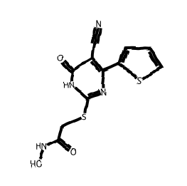 N#Cc1c(-c2cccs2)nc(SCC(=O)NO)[nH]c1=O